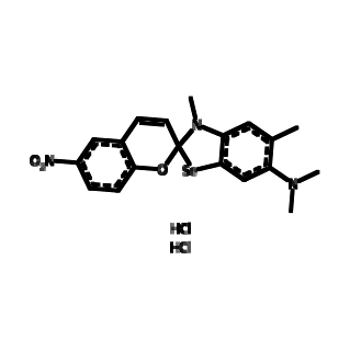 Cc1cc2c(cc1N(C)C)[Se]C1(C=Cc3cc([N+](=O)[O-])ccc3O1)N2C.Cl.Cl